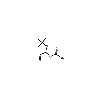 C=CC(OC(=O)O)OC(C)(C)C